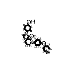 O=C1N(C2CCC(O)CC2)CC[C@]12CCCN(c1ccc(Oc3ccncc3)cc1F)C2